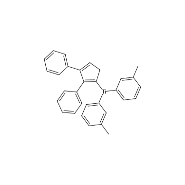 Cc1ccc[c]([Ti]([C]2=C(c3ccccc3)C(c3ccccc3)=CC2)[c]2cccc(C)c2)c1